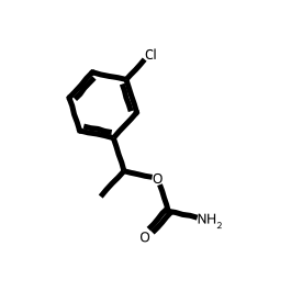 CC(OC(N)=O)c1cccc(Cl)c1